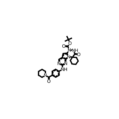 CC(C)(C)OC(=O)N1NC(=O)C2(CCCCC2)n2c1cc1cnc(Nc3ccc(C(=O)N4CCCCC4)cc3)nc12